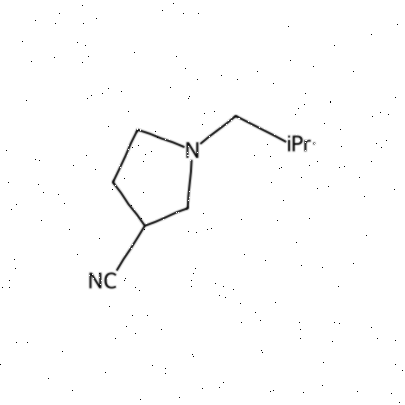 C[C](C)CN1CCC(C#N)C1